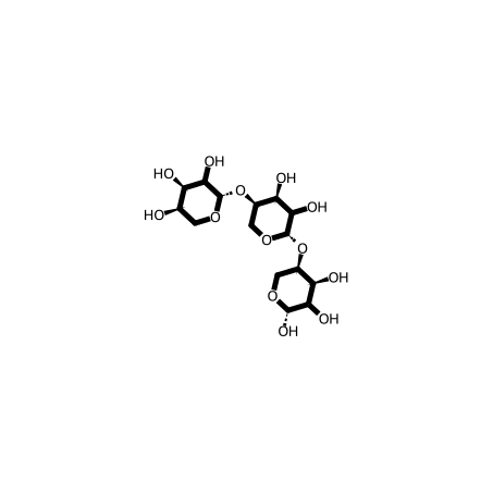 OC1[C@H](O[C@@H]2CO[C@@H](O[C@@H]3CO[C@@H](O)C(O)[C@@H]3O)C(O)[C@@H]2O)OC[C@@H](O)[C@H]1O